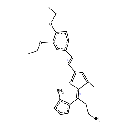 Bn1cccc1/C(CCN)=C1N=C(/C=C/c2ccc(OCC)c(OCC)c2)C=C\1C